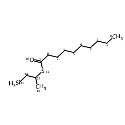 CCCCCCCCCC(=O)SC(C)C[SiH3]